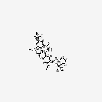 COc1cc2nc(C)nc(NC(C)c3cc(N)cc(C(F)(F)F)c3)c2cc1OC[C@@H]1CCCN1S(C)(=O)=O